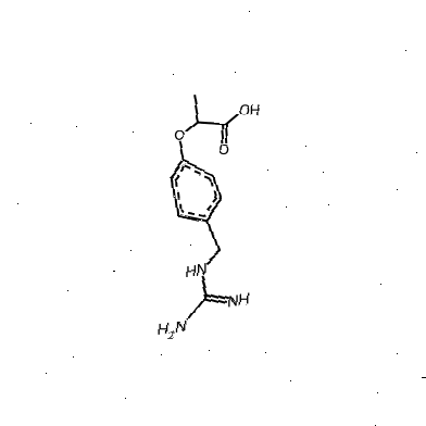 CC(Oc1ccc(CNC(=N)N)cc1)C(=O)O